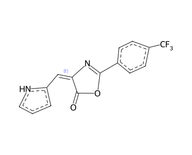 O=C1OC(c2ccc(C(F)(F)F)cc2)=N/C1=C/c1ccc[nH]1